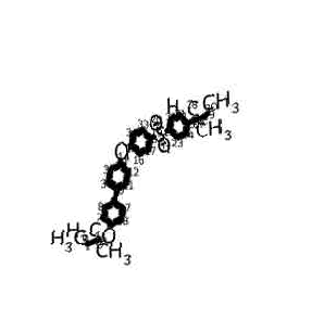 CCC(C)(C)Oc1ccc(-c2ccc(Oc3ccc(S(=O)(=O)c4ccc(C(C)(C)CC)cc4)cc3)cc2)cc1